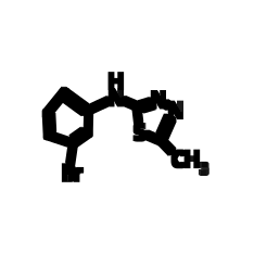 Cc1nnc(Nc2cccc(Br)c2)s1